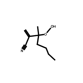 C=C(C#N)C(C)(CCCC)OO